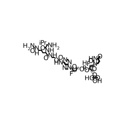 CC(C)C(N)C(=O)NC(CCCNC(N)=O)C(=O)NCCOC(=O)Nc1ncnc2c1ncn2[C@@H]1O[C@H](COPO[C@H]2[C@@H](F)[C@H](n3ccc(=O)[nH]c3=O)O[C@@H]2COP(=O)(O)O)C[C@H]1F